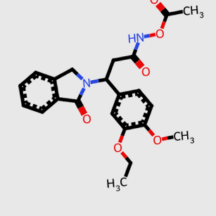 CCOc1cc(C(CC(=O)NOC(C)=O)N2Cc3ccccc3C2=O)ccc1OC